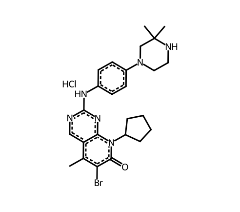 Cc1c(Br)c(=O)n(C2CCCC2)c2nc(Nc3ccc(N4CCNC(C)(C)C4)cc3)ncc12.Cl